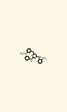 COc1cccc(Cc2nc(Nc3ccccc3)nc(Nc3ccccc3C)n2)c1